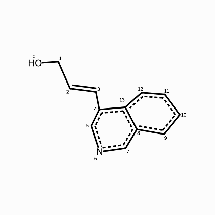 OC/C=C/c1cncc2ccccc12